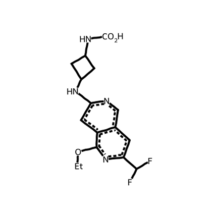 CCOc1nc(C(F)F)cc2cnc(NC3CC(NC(=O)O)C3)cc12